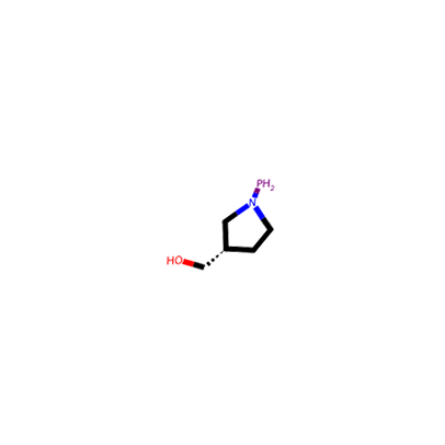 OC[C@H]1CCN(P)C1